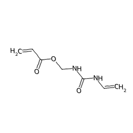 C=CNC(=O)NCOC(=O)C=C